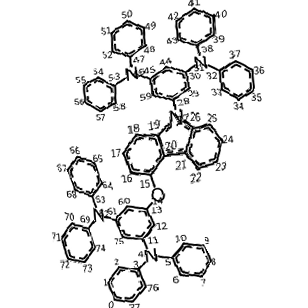 c1ccc(N(c2ccccc2)c2cc(Oc3cccc4c3c3ccccc3n4-c3cc(N(c4ccccc4)c4ccccc4)cc(N(c4ccccc4)c4ccccc4)c3)cc(N(c3ccccc3)c3ccccc3)c2)cc1